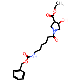 CCOC(=O)C1CN(C(=O)CCCCCNC(=O)OCc2ccccc2)CC1O